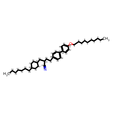 CCCCCCCCCCOc1ccc(-c2ccc(CCC(C#N)CC3CCC(CCCCCCC)CC3)cc2)cc1